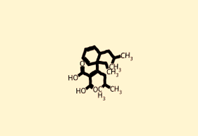 CCC1(C(CC(C)C)=C(C(=O)O)C(=O)O)C=CC=CC1CC(C)C